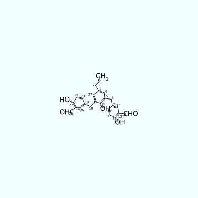 C=CCc1cc(Cc2ccc(O)c(C=O)c2)c(O)c(Cc2ccc(O)c(C=O)c2)c1